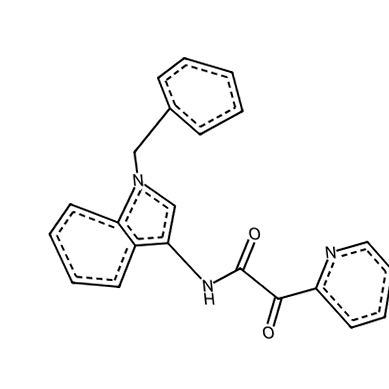 O=C(Nc1cn(Cc2ccccc2)c2ccccc12)C(=O)c1ccccn1